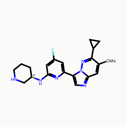 COc1cc2ncc(-c3cc(F)cc(N[C@@H]4CCCNC4)n3)n2nc1C1CC1